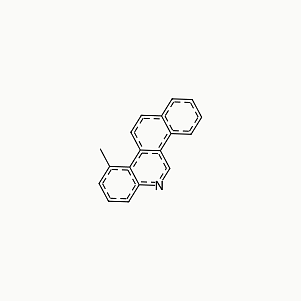 Cc1cccc2ncc3c4ccccc4ccc3c12